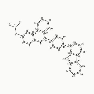 CC(C)Cc1ccc2cc(-c3ccc(-c4cccc5c4oc4ccccc45)cc3)c3ccccc3c2c1